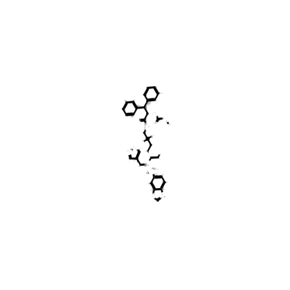 COC(=O)N[C@H](C(=O)NCC(F)(F)CC[C@@H](CO)N(Cc1cn[nH]c1)S(=O)(=O)c1ccc2ncsc2c1)C(c1ccccc1)c1ccccc1